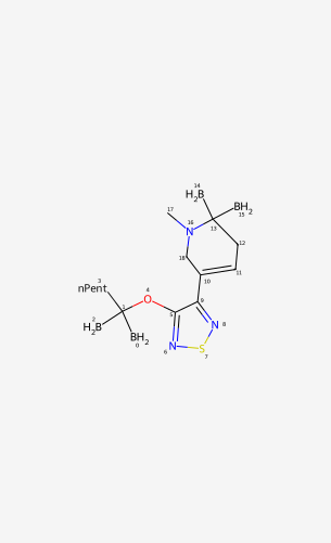 BC(B)(CCCCC)Oc1nsnc1C1=CCC(B)(B)N(C)C1